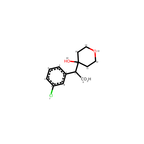 O=C(O)C(c1cccc(Cl)c1)C1(O)CCOCC1